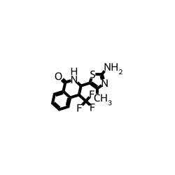 Cc1nc(N)sc1C1NC(=O)c2ccccc2C1C(F)(F)F